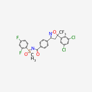 CS(=O)(=NC(=O)c1ccc(C2=NOC(c3cc(Cl)cc(Cl)c3)(C(F)(F)F)C2)cc1)c1ccc(F)cc1F